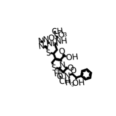 CO[C@]1(NC(=O)C(O)c2ccccc2)C(=O)N2C(C(=O)O)=C(C(CCNS(C)(=O)=O)Sc3nnn[nH]3)CS[C@H]21